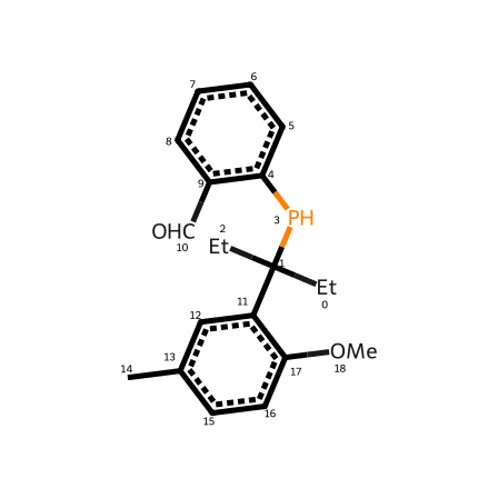 CCC(CC)(Pc1ccccc1C=O)c1cc(C)ccc1OC